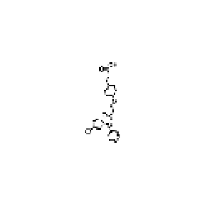 CC(CCOc1ccc(CCC(=O)O)cc1)Oc1ccc(Cl)cc1Oc1ccccc1